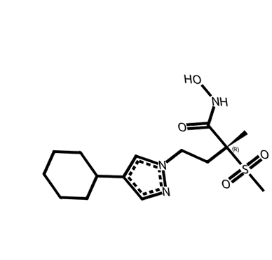 C[C@@](CCn1cc(C2CCCCC2)cn1)(C(=O)NO)S(C)(=O)=O